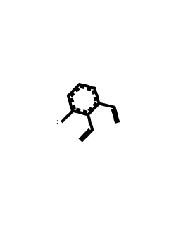 [CH]c1cccc(C=C)c1C=C